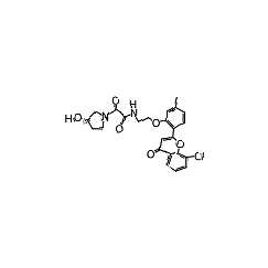 Cc1ccc(-c2cc(=O)c3cccc(Cl)c3o2)c(OCCNC(=O)C(=O)N2CC[C@H](O)C2)c1